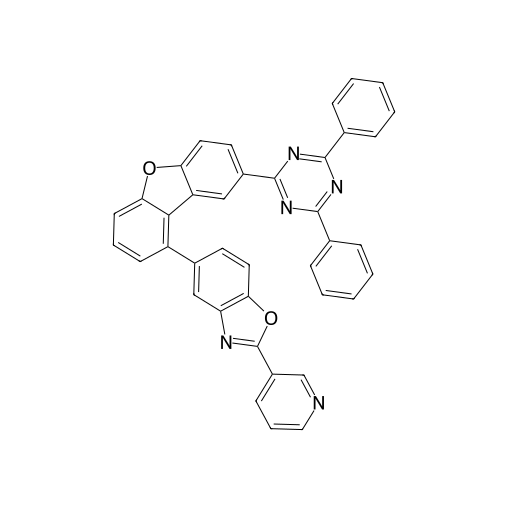 c1ccc(-c2nc(-c3ccccc3)nc(-c3ccc4oc5cccc(-c6ccc7oc(-c8cccnc8)nc7c6)c5c4c3)n2)cc1